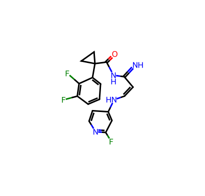 N=C(/C=C\Nc1ccnc(F)c1)NC(=O)C1(c2cccc(F)c2F)CC1